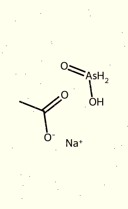 CC(=O)[O-].O=[AsH2]O.[Na+]